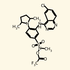 CC1CCC(C)N1c1ccc(S(=O)(=O)N(C)OC(=O)C(F)(F)F)cc1Nc1ncnc2ccc(Cl)cc12